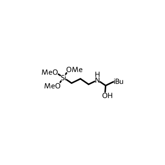 CCC(C)C(O)NCCC[Si](OC)(OC)OC